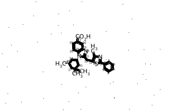 Cc1nc(-c2ccccc2)sc1Cc1nc2cc(C(=O)O)ccc2n1[C@H]1C[C@@H](C)CC(C)(C)C1